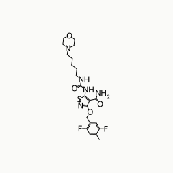 Cc1cc(F)c(COc2nsc(NC(=O)NCCCCCN3CCOCC3)c2C(N)=O)cc1F